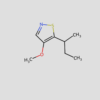 CCC(C)c1sncc1OC